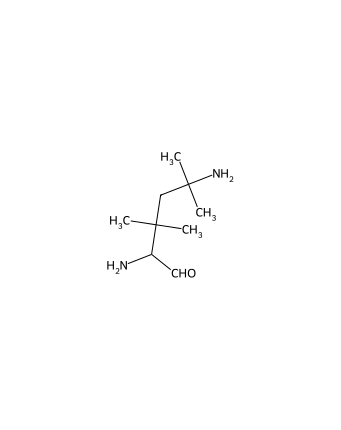 CC(C)(N)CC(C)(C)C(N)C=O